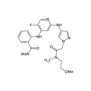 CNC(=O)c1ccccc1Nc1cc(Nc2cnn(CC(=O)N(C)CCOC)c2)ncc1F